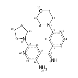 N=C(c1ccnc(N2CCOCC2)c1)c1cc(N2CCCC2)ncc1N